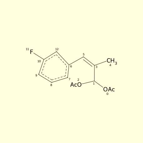 CC(=O)OC(OC(C)=O)C(C)=Cc1cccc(F)c1